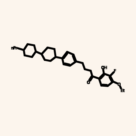 CCCC1CCC(C2CCC(c3ccc(CCCC(=O)c4ccc(OCC)c(F)c4O)cc3)CC2)CC1